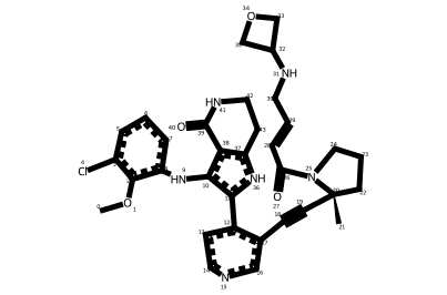 COc1c(Cl)cccc1Nc1c(-c2ccncc2C#C[C@@]2(C)CCCN2C(=O)/C=C/CNC2COC2)[nH]c2c1C(=O)NCC2